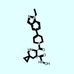 CCn1ncc2cc(C3=CCN(C(=O)[C@H]4NCC5(CC5)C[C@@H]4C(=O)NO)CC3)ccc21